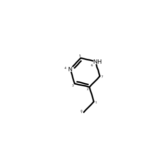 [CH2]CC1=CN=CNC1